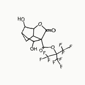 O=C1OC2C(O)C3CC2C1(C(=O)OC(C(F)(F)F)(C(F)(F)F)C(F)(F)F)C3O